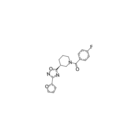 O=C(c1ccc(F)cc1)N1CCC[C@H](c2nc(-c3ccco3)no2)C1